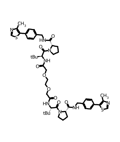 Cc1ncsc1-c1ccc(CNC(=O)[C@@H]2CCCN2C(=O)[C@@H](NC(=O)COCCOCC(=O)N[C@H](C(=O)N2CCC[C@H]2C(=O)NCc2ccc(-c3scnc3C)cc2)C(C)(C)C)C(C)(C)C)cc1